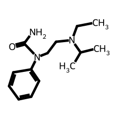 CCN(CCN(C(N)=O)c1ccccc1)C(C)C